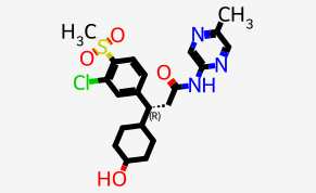 Cc1cnc(NC(=O)C[C@@H](c2ccc(S(C)(=O)=O)c(Cl)c2)C2CCC(O)CC2)cn1